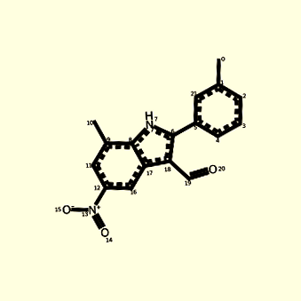 Cc1cccc(-c2[nH]c3c(C)cc([N+](=O)[O-])cc3c2C=O)c1